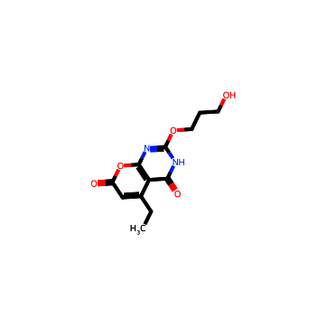 CCc1cc(=O)oc2nc(OCCCO)[nH]c(=O)c12